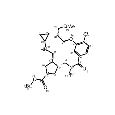 CCc1ccc(C(=O)N(C[C@@H]2CN(C(=O)OC(C)(C)C)C[C@H]2CNC2CC2)C(C)C)cc1OCCCOC